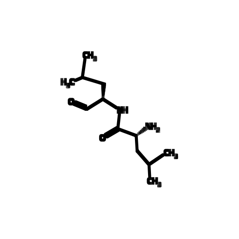 CC(C)C[C@@H](N)C(=O)N[C@@H](C=O)CC(C)C